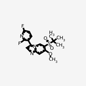 COc1cc2ncc(-c3ccc(F)nc3F)n2cc1S(=O)(=O)C(C)(C)C